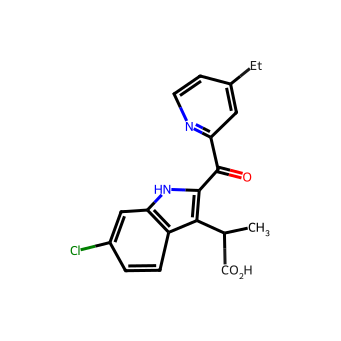 CCc1ccnc(C(=O)c2[nH]c3cc(Cl)ccc3c2C(C)C(=O)O)c1